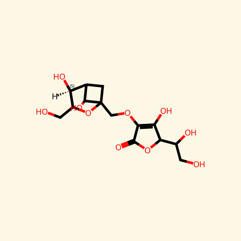 O=C1OC(C(O)CO)C(O)=C1OCC12CC(C1O)[C@H](O)C(CO)O2